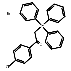 O=C(C[P+](c1ccccc1)(c1ccccc1)c1ccccc1)c1ccc(Cl)cc1.[Br-]